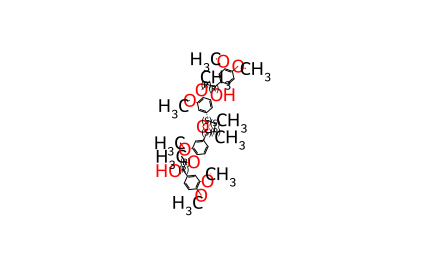 COc1ccc([C@@H](O)[C@@H](C)Oc2ccc([C@H]3O[C@H](c4ccc(O[C@H](C)[C@H](O)c5ccc(OC)c(OC)c5)c(OC)c4)[C@@H](C)[C@H]3C)cc2OC)cc1OC